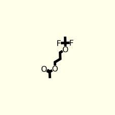 CC(=O)OCCCOC(C)(F)F